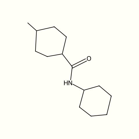 CC1CCC(C(=O)NC2CCCCC2)CC1